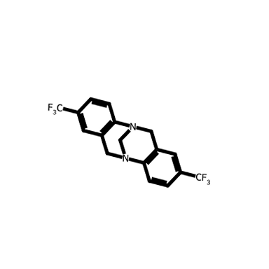 FC(F)(F)c1ccc2c(c1)CN1CN2Cc2cc(C(F)(F)F)ccc21